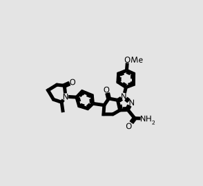 COc1ccc(-n2nc(C(N)=O)c3c2C(=O)C(c2ccc(N4C(=O)CCCC4C)cc2)CC3)cc1